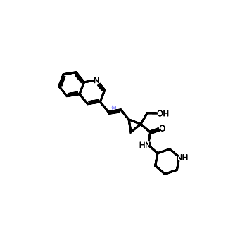 O=C(NC1CCCNC1)C1(CO)CC1/C=C/c1cnc2ccccc2c1